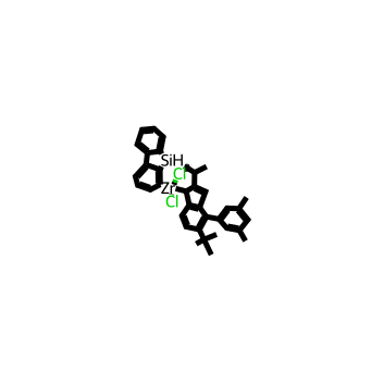 Cc1cc(C)cc(-c2c(C(C)(C)C)ccc3c2C=C(C(C)C)[CH]3[Zr]([Cl])([Cl])[c]2cccc3c2[SiH2]c2ccccc2-3)c1